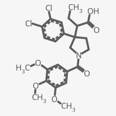 CCC(C(=O)O)C1(c2ccc(Cl)c(Cl)c2)CCN(C(=O)c2cc(OC)c(OC)c(OC)c2)C1